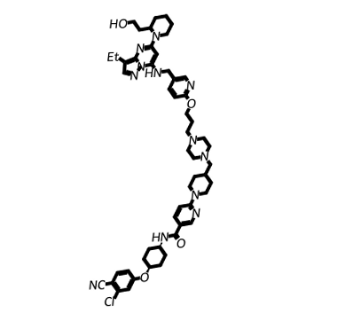 CCc1cnn2c(NCc3ccc(OCCCN4CCN(CC5CCN(c6ccc(C(=O)N[C@H]7CC[C@H](Oc8ccc(C#N)c(Cl)c8)CC7)cn6)CC5)CC4)nc3)cc(N3CCCCC3CCO)nc12